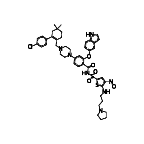 CC1(C)CCC(CN2CCN(c3ccc(C(=O)NS(=O)(=O)c4cc(N=O)c(NCCCN5CCCC5)s4)c(Oc4ccc5[nH]ccc5c4)c3)CC2)=C(c2ccc(Cl)cc2)C1